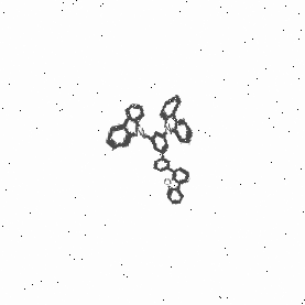 c1cc(-c2cc(-n3c4ccccc4c4ccccc43)cc(-n3c4ccccc4c4ccccc43)c2)cc(-c2cccc3c2oc2ccccc23)c1